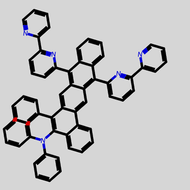 c1ccc(-c2c(N(c3ccccc3)c3ccccc3)c3ccccc3c3cc4c(-c5cccc(-c6ccccn6)n5)c5ccccc5c(-c5cccc(-c6ccccn6)n5)c4cc23)cc1